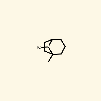 CC12CCCC(CC1)N2O